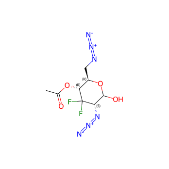 CC(=O)O[C@@H]1[C@@H](CN=[N+]=[N-])OC(O)[C@H](N=[N+]=[N-])C1(F)F